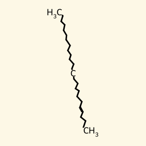 CCCCC=CCCCCCCCCCCCCCCCCCCCC